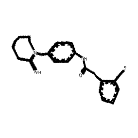 N=C1CCCCN1c1ccc(NC(=O)Cc2ccccc2F)cc1